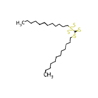 CCCCCCCCCCCCSC(=S)S(=S)(=S)CCCCCCCCCCCC